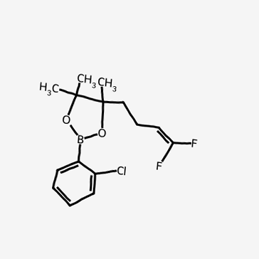 CC1(C)OB(c2ccccc2Cl)OC1(C)CCC=C(F)F